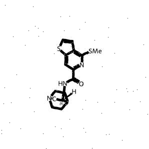 CSc1nc(C(=O)N[C@H]2CN3CCC2CC3)cc2sccc12